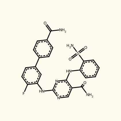 NC(=O)c1ccc(-c2ccc(F)c(Nc3ncc(C(N)=O)c(Nc4ccccc4S(N)(=O)=O)n3)c2)cc1